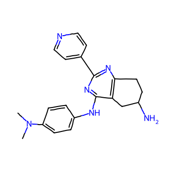 CN(C)c1ccc(Nc2nc(-c3ccncc3)nc3c2CC(N)CC3)cc1